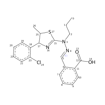 CCCN(/N=C/c1ccccc1C(=O)O)C1=NC(c2ccccc2Cl)C(C)S1